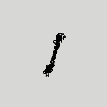 Cc1cc(-c2ccc(C(C)(C)N3CCC(N4CCN(c5cc6c(cc5F)C(=O)N(C5CCC(=O)NC5=O)C6=O)CC4)CC3)cc2)ccc1-n1cc(C(=O)NCc2nc(C(C)(C)C(F)(F)F)n[nH]2)cn1